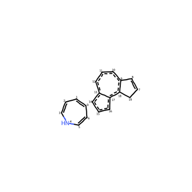 C1=CC=CNC=C1.C1=Cc2cccc3cccc-3c2C1